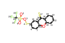 O=S(=O)(OSc1ccc2oc3ccccc3c(=S)c2c1)C(F)(F)F